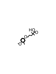 COc1ccc(OCCCC(C)(C)C(=O)O)cc1C